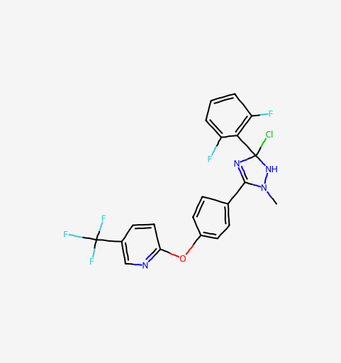 CN1NC(Cl)(c2c(F)cccc2F)N=C1c1ccc(Oc2ccc(C(F)(F)F)cn2)cc1